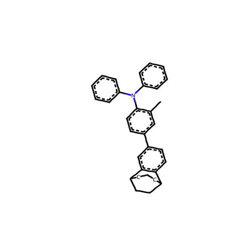 Cc1cc(-c2ccc3c(c2)C2CCCC3CC2)ccc1N(c1ccccc1)c1ccccc1